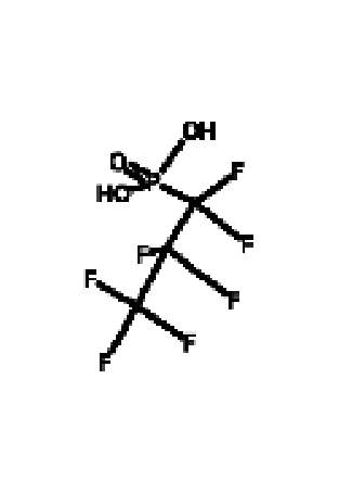 O=P(O)(O)C(F)(F)C(F)(F)C(F)(F)F